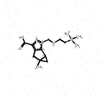 CC12Cc3c(C(=O)O)nn(COCC[Si](C)(C)C)c3C1C2